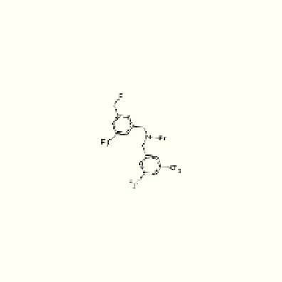 CC(C)N(Cc1cc(CF)cc(C(F)(F)F)c1)Cc1cc(C(F)(F)F)cc(C(F)(F)F)c1